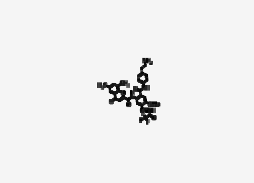 COc1cc(NC(=O)c2cc(=O)c3cc(C)cc(C)c3o2)c(C(=O)Nc2ccc(CCN)cc2)cc1OC.O=C(O)C(F)(F)F